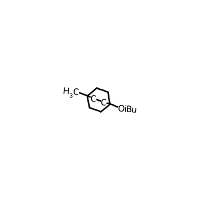 CC(C)COC12CCC(C)(CC1)CC2